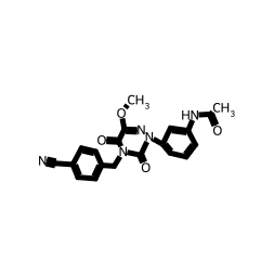 COc1nn(-c2cccc(NC(C)=O)c2)c(=O)n(Cc2ccc(C#N)cc2)c1=O